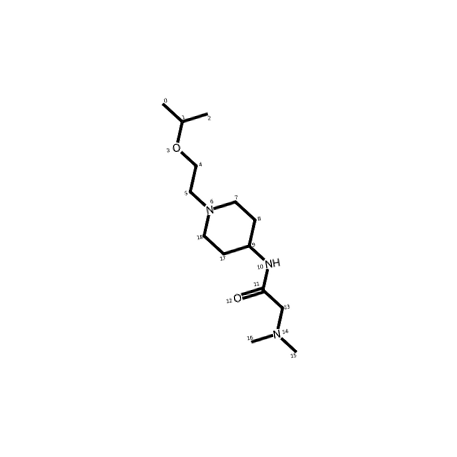 CC(C)OCCN1CCC(NC(=O)CN(C)C)CC1